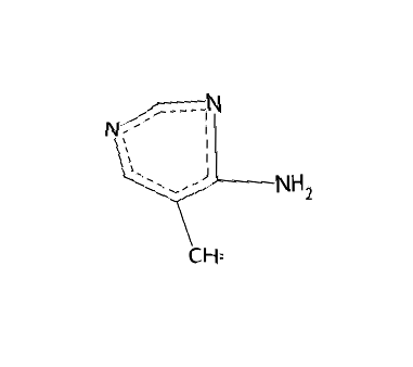 [CH]c1cncnc1N